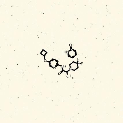 CC(C(=O)Nc1ccc(OC2CCC2)cn1)N1CCC(F)(F)[C@@H](c2ccc(=O)[nH]c2)C1